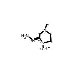 CN1CCN([C]=O)C(=NN)C1